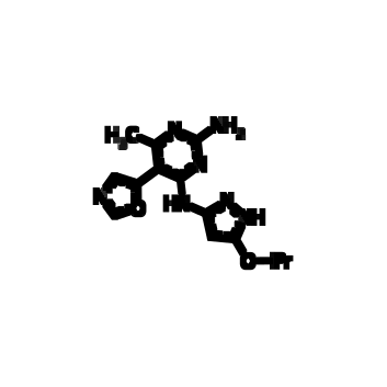 Cc1nc(N)nc(Nc2cc(OC(C)C)[nH]n2)c1-c1cnco1